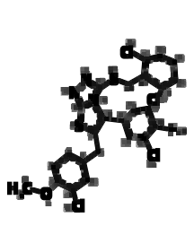 COc1ccc(Cc2sc3nnc(SCc4c(Cl)cccc4Cl)n3c2-c2ccc(F)c(Cl)c2)cc1Cl